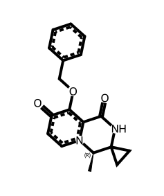 C[C@H]1n2ccc(=O)c(OCc3ccccc3)c2C(=O)NC12CC2